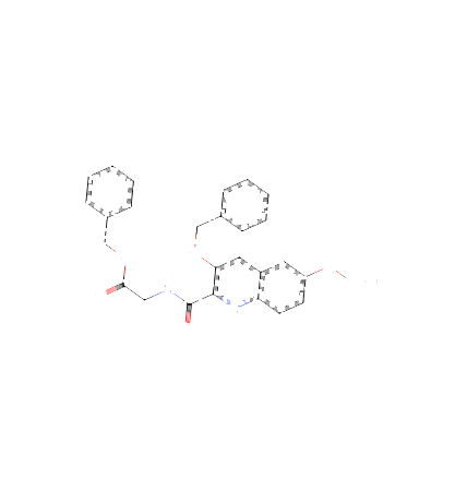 CCCCCCCCOc1ccc2nc(C(=O)NCC(=O)OCc3ccccc3)c(OCc3ccccc3)cc2c1